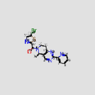 CC1c2cnc(-c3ccccn3)nc2CCN1C(=O)c1ncc(Br)s1